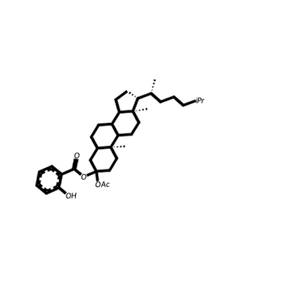 CC(=O)OC1(OC(=O)c2ccccc2O)CC[C@@]2(C)C(CCC3C2CC[C@@]2(C)C3CC[C@@H]2[C@H](C)CCCC(C)C)C1